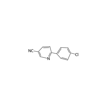 N#Cc1ccc(-c2ccc(Cl)cc2)nc1